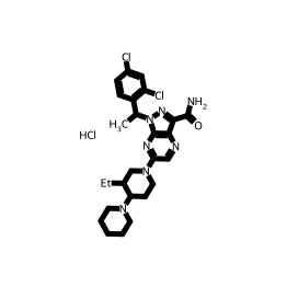 CCC1CN(c2cnc3c(C(N)=O)nn(C(C)c4ccc(Cl)cc4Cl)c3n2)CCC1N1CCCCC1.Cl